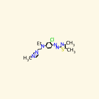 CCN(CCn1cc[n+](C)c1)c1ccc(N=Nc2nc(C)c(C)s2)c(Cl)c1